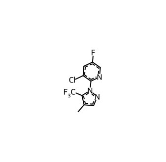 Cc1cnn(-c2ncc(F)cc2Cl)c1C(F)(F)F